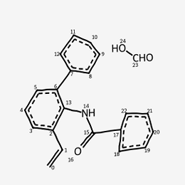 C=Cc1cccc(-c2ccccc2)c1NC(=O)c1ccccc1.O=CO